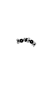 Cc1nn(-c2ccc([N+](=O)[O-])cc2)cc1N(C)C(=O)c1ccc(OC(F)(F)F)cc1